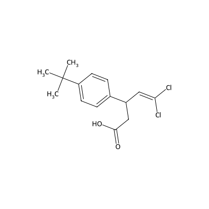 CC(C)(C)c1ccc(C(C=C(Cl)Cl)CC(=O)O)cc1